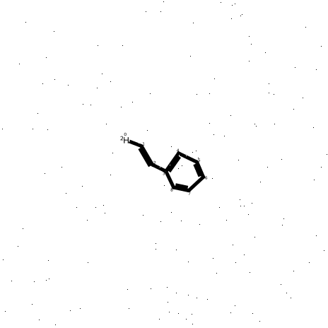 [2H]C=Cc1ccccc1